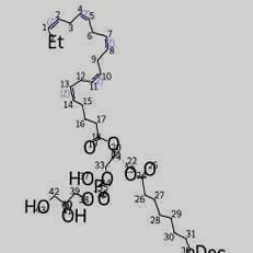 CC/C=C\C/C=C\C/C=C\C/C=C\C/C=C\CCCC(=O)O[C@H](COC(=O)CCCCCCCCCCCCCCCC)COP(=O)(O)OC[C@@H](O)CO